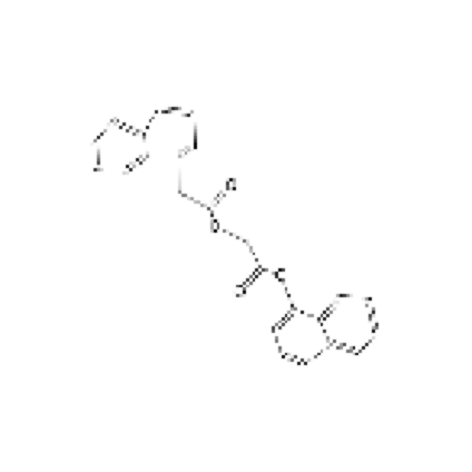 O=C(Cc1cccc2ccccc12)OCC(=O)Oc1cccc2ccccc12